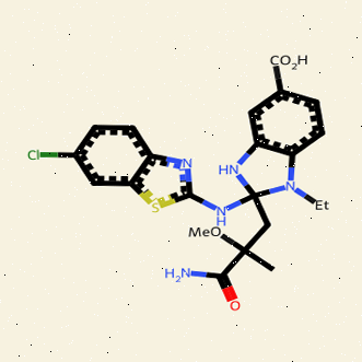 CCN1c2ccc(C(=O)O)cc2NC1(CC(C)(OC)C(N)=O)Nc1nc2ccc(Cl)cc2s1